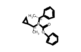 C[C@H](c1ccccc1)N(C(=O)Oc1ccccc1)[C@H](C)C1CC1